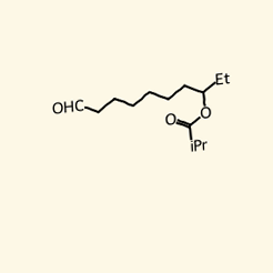 CCC(CCCCCCC=O)OC(=O)C(C)C